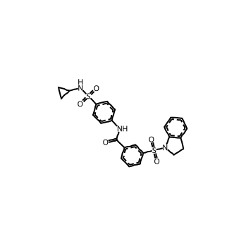 O=C(Nc1ccc(S(=O)(=O)NC2CC2)cc1)c1cccc(S(=O)(=O)N2CCc3ccccc32)c1